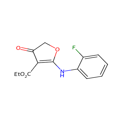 CCOC(=O)C1=C(Nc2ccccc2F)OCC1=O